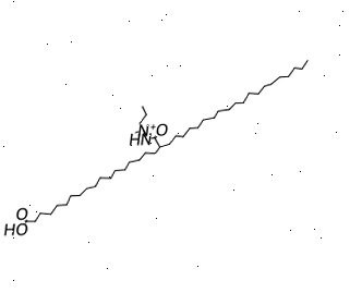 CCCCCCCCCCCCCCCCCCCCC(CCCCCCCCCCCCCCCCCC(=O)O)C(=O)N[N+](C)(C)CCC